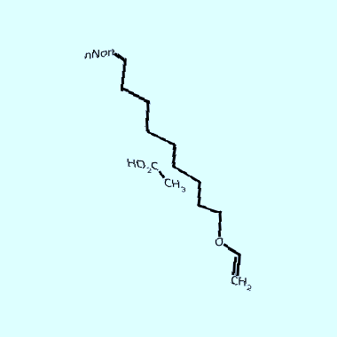 C=COCCCCCCCCCCCCCCCCCC.CC(=O)O